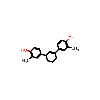 Cc1cc(C2=CC(c3ccc(O)c(C)c3)CCC2)ccc1O